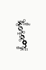 CCC(Cc1ccc(-n2ccc(NC(=O)N3CCN(C(=O)C(C)(C)NC(=O)OC(C)(C)C)CC3)nc2=O)cc1)O[Si](C)(C)C(C)(C)C